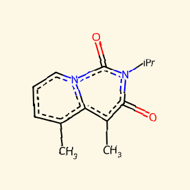 Cc1cccn2c(=O)n(C(C)C)c(=O)c(C)c12